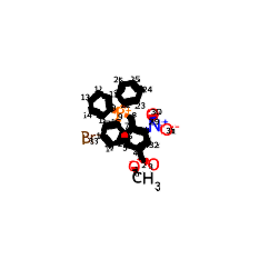 COC(=O)c1ccc(C[P+](c2ccccc2)(c2ccccc2)c2ccccc2)c([N+](=O)[O-])c1.[Br-]